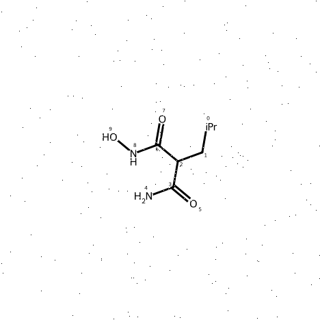 CC(C)CC(C(N)=O)C(=O)NO